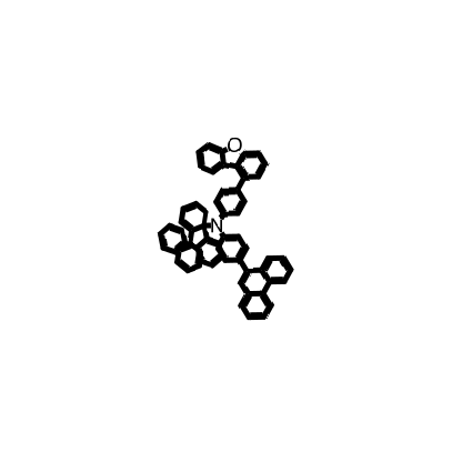 C1=CCC(c2ccccc2-c2ccccc2)(N(c2ccc(-c3cc4ccccc4c4ccccc34)cc2)c2ccc(-c3cccc4oc5ccccc5c34)cc2)C(c2ccccc2)=C1